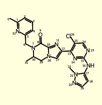 Cc1cccc(CN2C(=O)c3nc(-c4nc(Nc5ccnn5C)ncc4Cl)cn3CC2C)n1